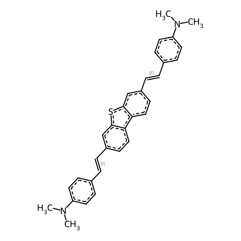 CN(C)c1ccc(/C=C/c2ccc3c(c2)sc2cc(/C=C/c4ccc(N(C)C)cc4)ccc23)cc1